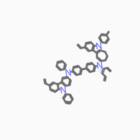 C=C/C=C(\C=C)N(C1=Cc2c(n(-c3ccc(C)cc3)c3ccc(C=C)cc23)CCC1)c1ccc(-c2ccc(N(c3ccccc3)c3ccc4c(c3)C3C=C(C=C)C=CC3N4c3cc#ccc3)cc2)cc1